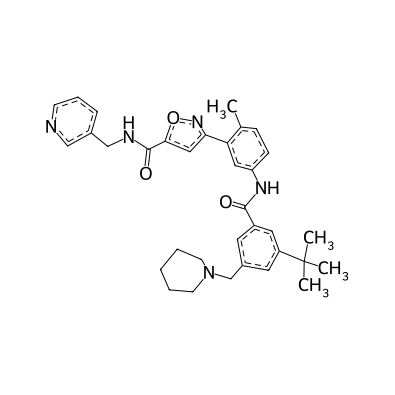 Cc1ccc(NC(=O)c2cc(CN3CCCCC3)cc(C(C)(C)C)c2)cc1-c1cc(C(=O)NCc2cccnc2)on1